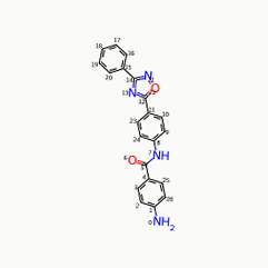 Nc1ccc(C(=O)Nc2ccc(-c3nc(-c4ccccc4)no3)cc2)cc1